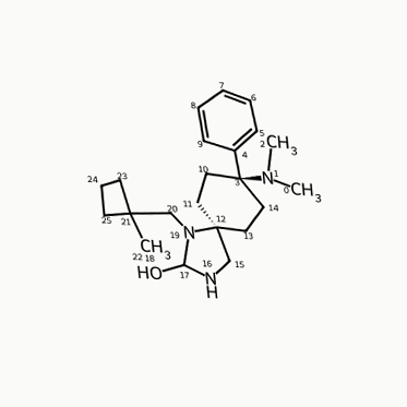 CN(C)[C@]1(c2ccccc2)CC[C@]2(CC1)CNC(O)N2CC1(C)CCC1